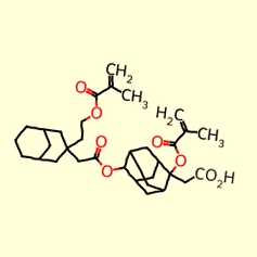 C=C(C)C(=O)OCCC1(CC(=O)OC2C3CC4CC2CC(C3)C4(CC(=O)O)OC(=O)C(=C)C)CC2CCCC(C2)C1